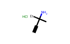 Cl.[C]#CC(C)(N)CC